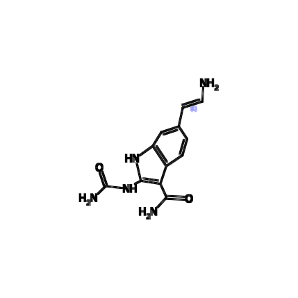 N/C=C/c1ccc2c(C(N)=O)c(NC(N)=O)[nH]c2c1